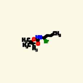 CCCC(Br)NC(=O)OC(C)(C)C